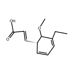 CCC1=CC=C[C@H](C=CC(=O)O)C1OC